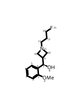 COc1ccccc1[C@H](O)C1CN(CCCF)C1